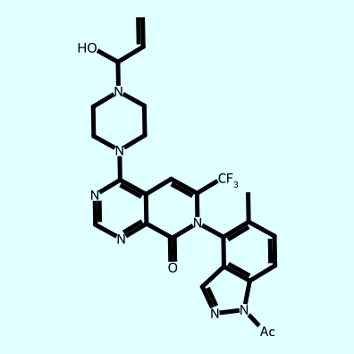 C=CC(O)N1CCN(c2ncnc3c(=O)n(-c4c(C)ccc5c4cnn5C(C)=O)c(C(F)(F)F)cc23)CC1